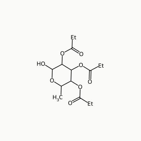 CCC(=O)OC1C(C)OC(O)C(OC(=O)CC)C1OC(=O)CC